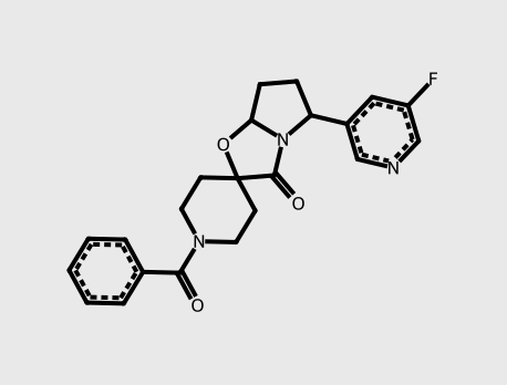 O=C(c1ccccc1)N1CCC2(CC1)OC1CCC(c3cncc(F)c3)N1C2=O